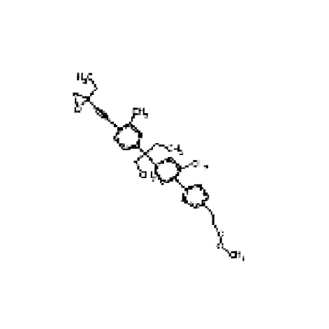 CCC1(C#Cc2ccc(C(CC)(CC)c3ccc(-c4ccc(CCOOC)cc4)c(C)c3)cc2C)CO1